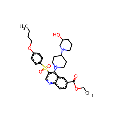 CCCCOc1ccc(S(=O)(=O)c2cnc3ccc(C(=O)OCC)cc3c2N2CCC(N3CCCC(O)C3)CC2)cc1